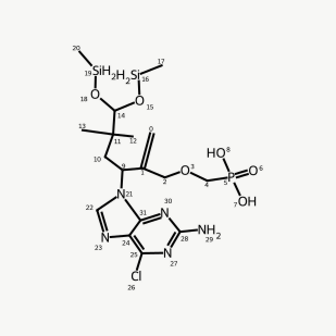 C=C(COCP(=O)(O)O)C(CC(C)(C)C(O[SiH2]C)O[SiH2]C)n1cnc2c(Cl)nc(N)nc21